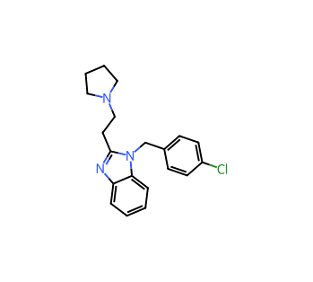 Clc1ccc(Cn2c(CCN3CCCC3)nc3ccccc32)cc1